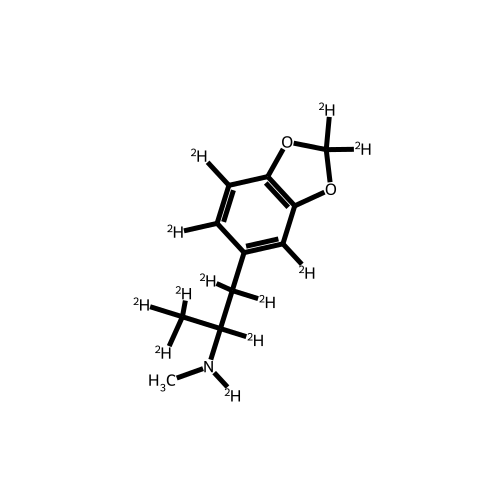 [2H]c1c([2H])c(C([2H])([2H])C([2H])(N([2H])C)C([2H])([2H])[2H])c([2H])c2c1OC([2H])([2H])O2